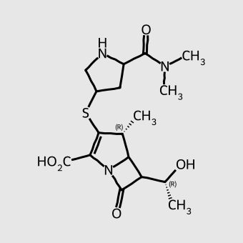 C[C@@H](O)C1C(=O)N2C(C(=O)O)=C(SC3CNC(C(=O)N(C)C)C3)[C@H](C)C12